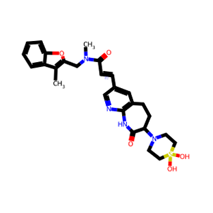 Cc1c(CN(C)C(=O)/C=C/c2cnc3c(c2)CCC(N2CCS(O)(O)CC2)C(=O)N3)oc2ccccc12